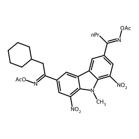 CCC/C(=N\OC(C)=O)c1cc([N+](=O)[O-])c2c(c1)c1cc(/C(CC3CCCCC3)=N/OC(C)=O)cc([N+](=O)[O-])c1n2C